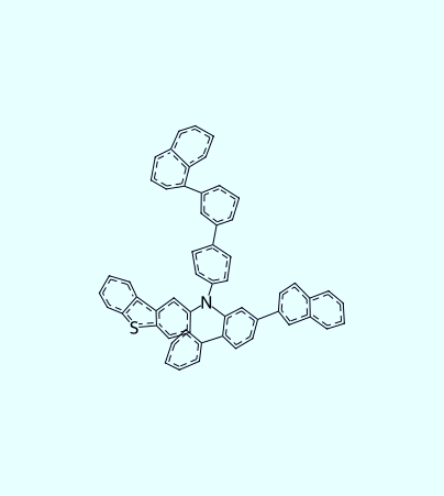 c1ccc(-c2ccc(-c3ccc4ccccc4c3)cc2N(c2ccc(-c3cccc(-c4cccc5ccccc45)c3)cc2)c2ccc3sc4ccccc4c3c2)cc1